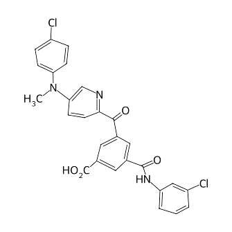 CN(c1ccc(Cl)cc1)c1ccc(C(=O)c2cc(C(=O)O)cc(C(=O)Nc3cccc(Cl)c3)c2)nc1